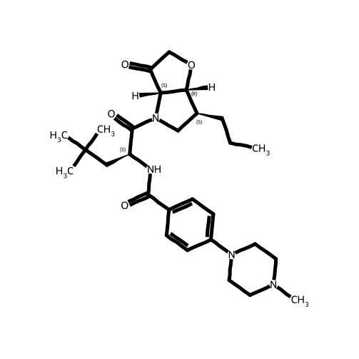 CCC[C@H]1CN(C(=O)[C@H](CC(C)(C)C)NC(=O)c2ccc(N3CCN(C)CC3)cc2)[C@@H]2C(=O)CO[C@H]12